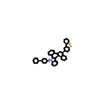 c1ccc(-c2ccc(-n3c4ccccc4c4c5c6ccccc6c(-c6ccc7sc8ccccc8c7c6)cc5c5ccccc5c43)cc2)cc1